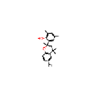 CCc1ccc2c(c1)C(C)(C)CC(C)(c1cc(C)cc(C)c1O)O2